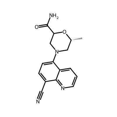 C[C@@H]1CN(c2ccc(C#N)c3ncccc23)CC(C(N)=O)O1